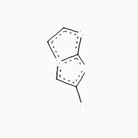 Clc1cn2ccnc2s1